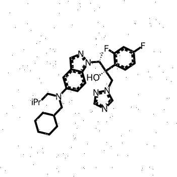 CC(C)CN(CC1CCCCC1)c1ccc2c(cnn2[C@H](C)[C@](O)(Cn2cncn2)c2ccc(F)cc2F)c1